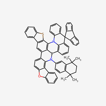 CC1(C)CCC(C)(C)c2cc(N3B4c5cccc6c5N(c5ccccc5C65c6ccccc6-c6ccccc65)c5c4c(cc4c5sc5ccccc54)-c4ccc5oc6ccccc6c5c43)ccc21